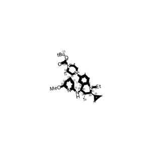 CCN1c2ccc(N3CCN(C(=O)OC(C)(C)C)[C@@H](C)C3)cc2[C@H](Nc2cccc(OC)n2)[C@@H](C)[C@@H]1C1CC1